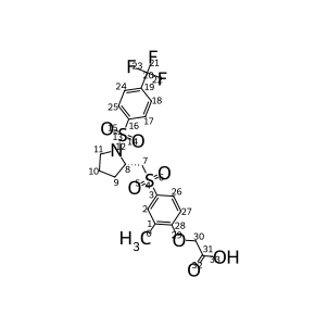 Cc1cc(S(=O)(=O)C[C@@H]2CCCN2S(=O)(=O)c2ccc(C(F)(F)F)cc2)ccc1OCC(=O)O